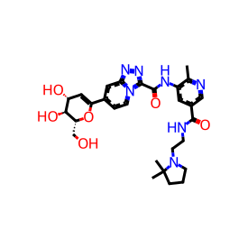 Cc1ncc(C(=O)NCCN2CCCC2(C)C)cc1NC(=O)c1nnc2cc(C3=C[C@@H](O)[C@H](O)[C@@H](CO)O3)ccn12